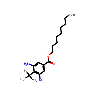 CCCCCCCCCCCCCCCCCCOC(=O)c1cc(N)c(C(C)(C)CC)c(N)c1